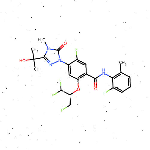 Cc1cccc(F)c1NC(=O)c1cc(F)c(-n2nc(C(C)(C)O)n(C)c2=O)cc1O[C@@H](CF)C(F)F